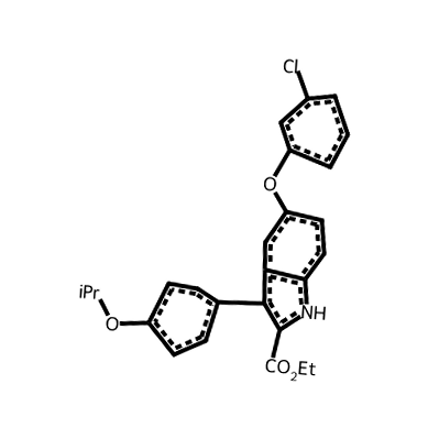 CCOC(=O)c1[nH]c2ccc(Oc3cccc(Cl)c3)cc2c1-c1ccc(OC(C)C)cc1